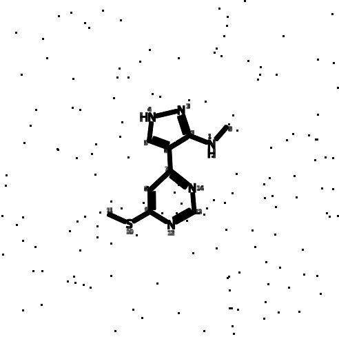 CNc1n[nH]cc1-c1cc(SC)ncn1